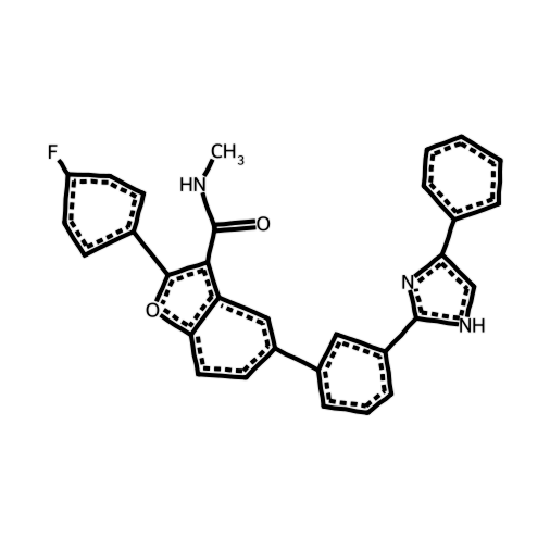 CNC(=O)c1c(-c2ccc(F)cc2)oc2ccc(-c3cccc(-c4nc(-c5ccccc5)c[nH]4)c3)cc12